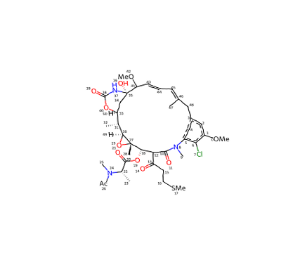 COc1cc2cc(c1Cl)N(C)C(=O)C(C(=O)CCSC)[C@H](OC(=O)[C@H](C)N(C)C(C)=O)[C@]1(C)O[C@H]1[C@H](C)[C@@H]1C[C@@](O)(NC(=O)O1)C(OC)/C=C/C=C(\C)C2